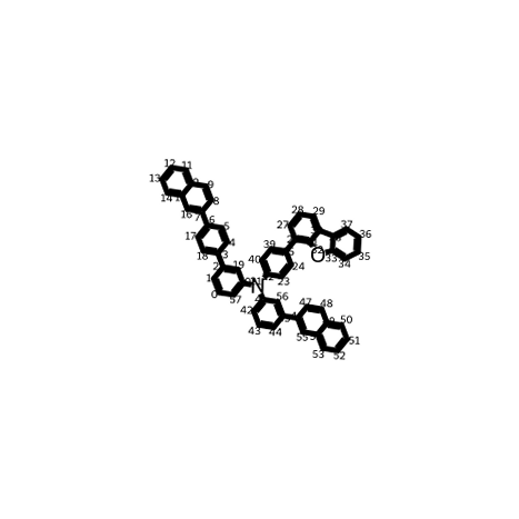 c1cc(-c2ccc(-c3ccc4ccccc4c3)cc2)cc(N(c2ccc(-c3cccc4c3oc3ccccc34)cc2)c2cccc(-c3ccc4ccccc4c3)c2)c1